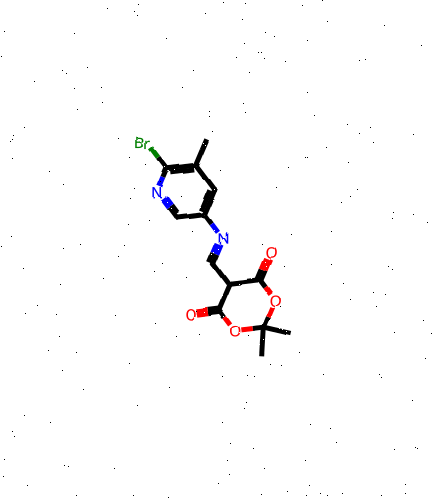 Cc1cc(/N=C/C2C(=O)OC(C)(C)OC2=O)cnc1Br